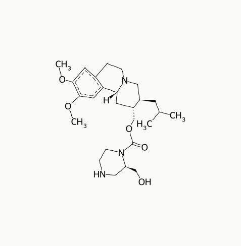 COc1cc2c(cc1OC)[C@H]1C[C@@H](COC(=O)N3CCNC[C@@H]3CO)[C@H](CC(C)C)CN1CC2